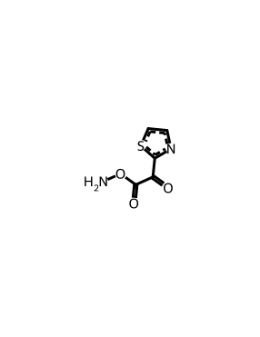 NOC(=O)C(=O)c1nccs1